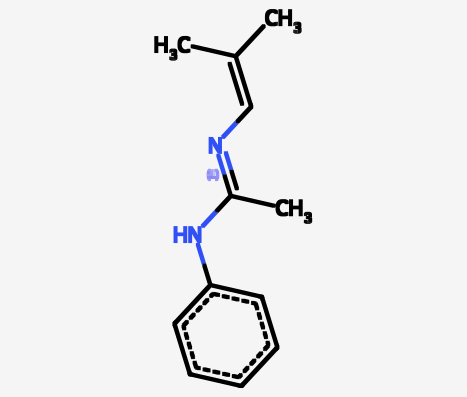 CC(C)=C/N=C(\C)Nc1ccccc1